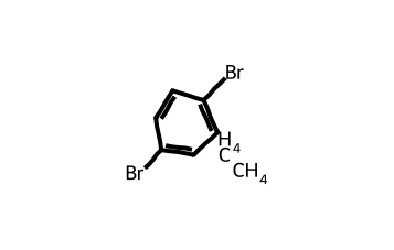 Brc1ccc(Br)cc1.C.C